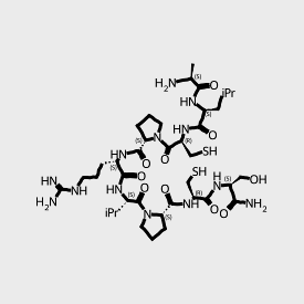 CC(C)C[C@H](NC(=O)[C@H](C)N)C(=O)N[C@@H](CS)C(=O)N1CCC[C@H]1C(=O)N[C@@H](CCCNC(=N)N)C(=O)N[C@H](C(=O)N1CCC[C@H]1C(=O)N[C@@H](CS)C(=O)N[C@@H](CO)C(N)=O)C(C)C